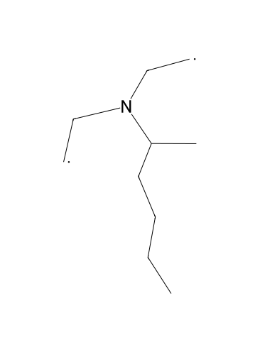 [CH2]CN(C[CH2])C(C)CCCC